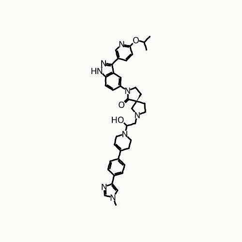 CC(C)Oc1ccc(-c2n[nH]c3ccc(N4CC[C@]5(CCN(CC(O)N6CC=C(c7ccc(-c8cn(C)cn8)cc7)CC6)C5)C4=O)cc23)cn1